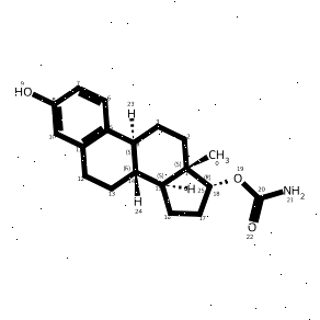 C[C@]12CC[C@@H]3c4ccc(O)cc4CC[C@H]3[C@@H]1CC[C@H]2OC(N)=O